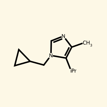 Cc1ncn(CC2CC2)c1C(C)C